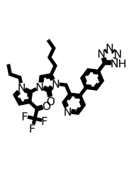 CCCCc1cn(-c2c(C(=O)C(F)(F)F)ccn2CCC)c(=O)n1Cc1cnccc1-c1ccc(-c2nnn[nH]2)cc1